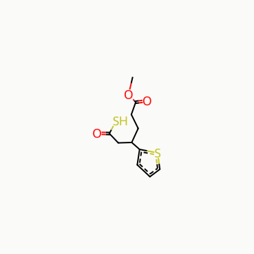 COC(=O)CCC(CC(=O)S)c1cccs1